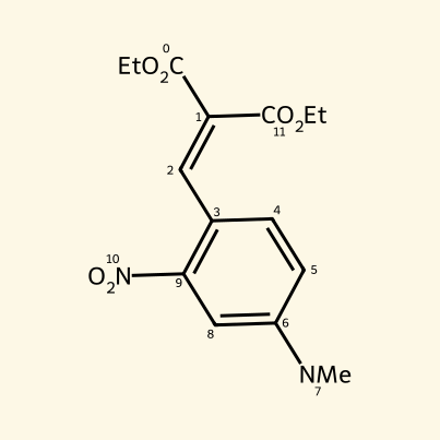 CCOC(=O)C(=Cc1ccc(NC)cc1[N+](=O)[O-])C(=O)OCC